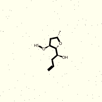 C=CC[C@H](O)[C@H]1O[C@@H](C)C[C@@H]1OS